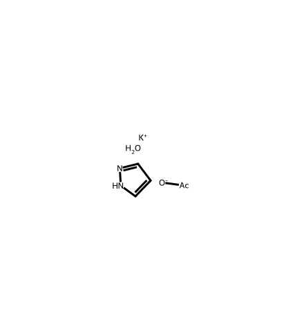 CC(=O)[O-].O.[K+].c1cn[nH]c1